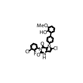 COc1cccc(-c2ccc(-n3c(Cl)cc4[nH]c(=O)n(-c5cccc(Cl)c5F)c(=O)c43)cc2)c1O